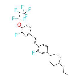 CCCC1CCC(c2ccc(C=Cc3ccc(OC(F)(F)C(F)C(F)(F)F)c(F)c3)c(F)c2)CC1